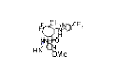 COc1ccc(N/N=C\C=N)c(C(=O)C2CCCC(F)(F)C[C@@H](C)C(CNc3ccc(C(F)(F)F)cn3)C2)n1